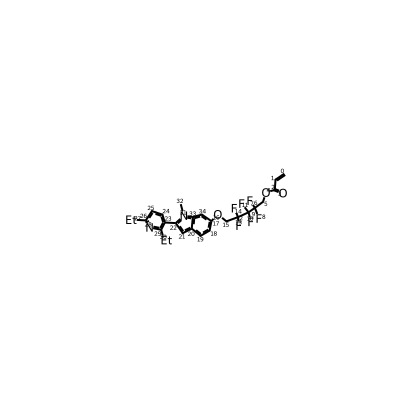 C=CC(=O)OCC(F)(F)C(F)(F)C(F)(F)COc1ccc2cc(-c3ccc(CC)nc3CC)n(C)c2c1